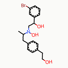 CC(Cc1ccc(CCO)cc1)N(O)CC(O)c1cccc(Br)c1